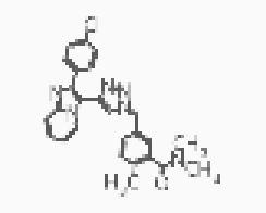 Cc1ccc(Cn2cc(-c3c(-c4ccc(Cl)cc4)nc4ccccn34)nn2)cc1C(=O)N(C)C